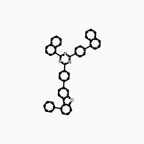 c1ccc(-c2cccc3oc4cc(-c5ccc(-c6nc(-c7ccc(-c8cccc9ccccc89)cc7)nc(-c7cccc8ccccc78)n6)cc5)ccc4c23)cc1